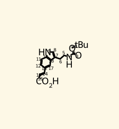 CC(C)(C)OC(=O)NCCc1c[nH]c2ccc(C=CC(=O)O)cc12